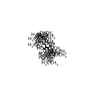 C[Si](C)(C)O[Si](CCCC(C(=O)O)=C(CCC[Si](O[Si](C)(C)C)(O[Si](C)(C)C)O[Si](O[Si](C)(C)C)(O[Si](C)(C)C)O[Si](C)(C)C)C(=O)O)(O[Si](C)(C)C)O[Si](O[Si](C)(C)C)(O[Si](C)(C)C)O[Si](C)(C)C